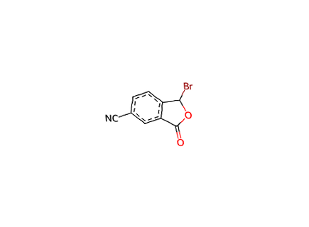 N#Cc1ccc2c(c1)C(=O)OC2Br